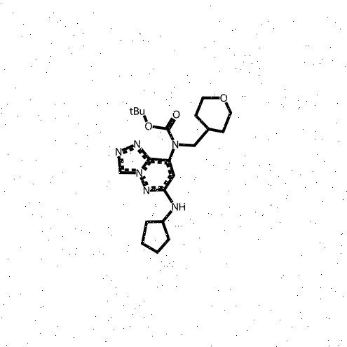 CC(C)(C)OC(=O)N(CC1CCOCC1)c1cc(NC2CCCC2)nn2cnnc12